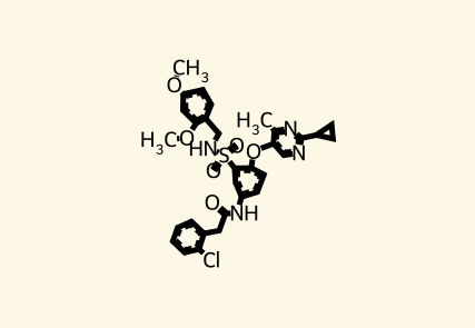 COc1ccc(CNS(=O)(=O)c2cc(NC(=O)Cc3ccccc3Cl)ccc2Oc2cnc(C3CC3)nc2C)c(OC)c1